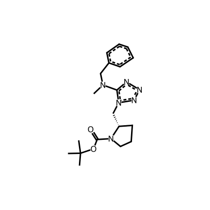 CN(Cc1ccccc1)c1nnnn1C[C@@H]1CCCN1C(=O)OC(C)(C)C